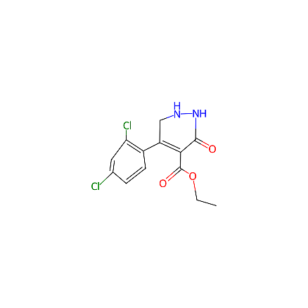 CCOC(=O)C1=C(c2ccc(Cl)cc2Cl)CNNC1=O